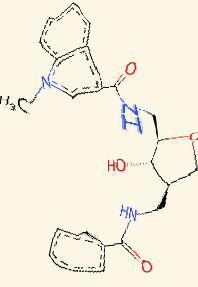 Cn1cc(C(=O)NC[C@H]2OC[C@@H](CNC(=O)c3ccccc3)[C@@H]2O)c2ccccc21